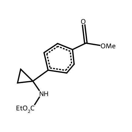 CCOC(=O)NC1(c2ccc(C(=O)OC)cc2)CC1